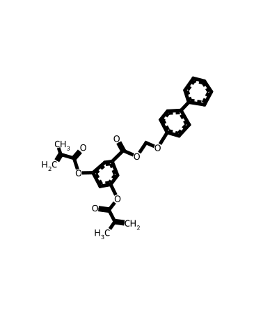 C=C(C)C(=O)Oc1cc(OC(=O)C(=C)C)cc(C(=O)OCOc2ccc(-c3ccccc3)cc2)c1